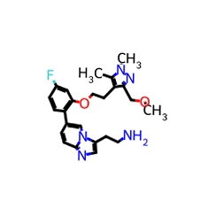 COCc1nn(C)c(C)c1CCOc1cc(F)ccc1-c1ccc2ncc(CCN)n2c1